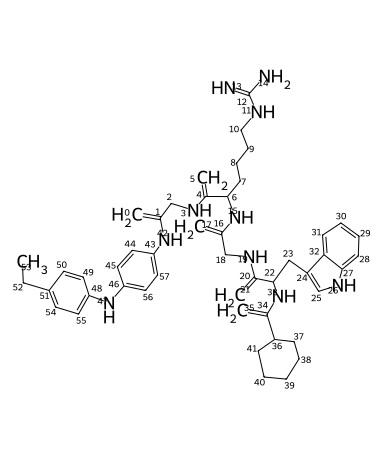 C=C(CNC(=C)C(CCCCNC(=N)N)NC(=C)CNC(=C)C(Cc1c[nH]c2ccccc12)NC(=C)C1CCCCC1)Nc1ccc(Nc2ccc(CC)cc2)cc1